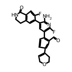 Nc1nc(F)c(-c2ccc(C3=CCOCC3)cc2C=O)cc1-c1cc2c(cc1F)C(=O)NCC2